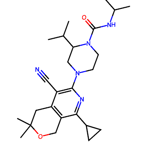 CC(C)NC(=O)N1CCN(c2nc(C3CC3)c3c(c2C#N)CC(C)(C)OC3)CC1C(C)C